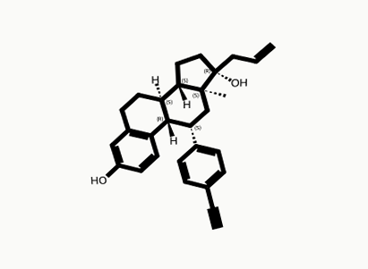 C#Cc1ccc([C@H]2C[C@@]3(C)[C@@H](CC[C@@]3(O)CC=C)[C@@H]3CCc4cc(O)ccc4[C@H]32)cc1